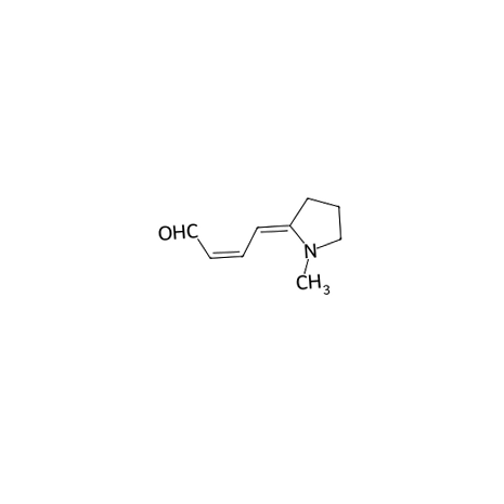 CN1CCC/C1=C/C=C\C=O